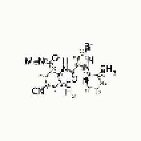 [C-]#[N+]c1cc(C)c(NC(=O)c2cc(Br)nn2-c2ncccc2C)c(C(=O)NC)c1